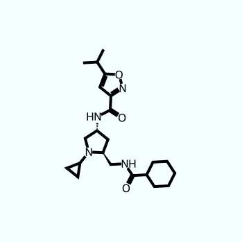 CC(C)c1cc(C(=O)N[C@@H]2C[C@@H](CNC(=O)C3CCCCC3)N(C3CC3)C2)no1